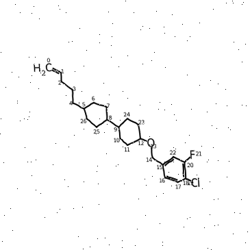 C=CCCCC1CCC(C2CCC(OCc3ccc(Cl)c(F)c3)CC2)CC1